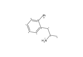 CC(N)Cc1ccccc1C(C)C